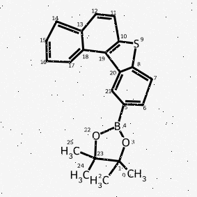 CC1(C)OB(c2ccc3sc4ccc5ccccc5c4c3c2)OC1(C)C